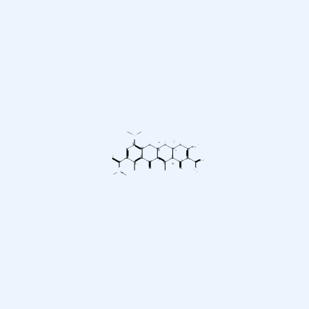 C=C(c1cc(N(C)C)c2c(c1C)C(=O)C1=C(C)[C@]3(O)C(=O)C(C(N)=O)=C(O)C[C@@H]3C[C@@H]1C2)N(C)CCC